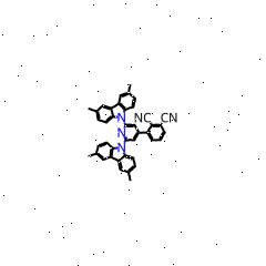 Cc1ccc2c(c1)c1cc(C)ccc1n2-c1cc(-c2cccc(C#N)c2C#N)cc(-n2c3ccc(C)cc3c3cc(C)ccc32)n1